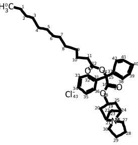 CCCCCCCCCCCCC(=O)OC(C(=O)OC1CC2CCC(C1)[N+]21CCCC1)(c1ccccc1)c1ccccc1.[Cl-]